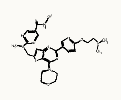 CN(C)CCOc1ccc(-c2nc(N3CCOCC3)c3sc(CN(C)c4ncc(C(=O)NO)cn4)cc3n2)cn1